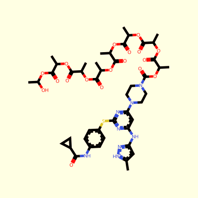 Cc1cc(Nc2cc(N3CCN(C(=O)OC(C)C(=O)OC(C)C(=O)OC(C)C(=O)OC(C)C(=O)OC(C)C(=O)OC(C)C(=O)OC(C)C(=O)OC(C)O)CC3)nc(Sc3ccc(NC(=O)C4CC4)cc3)n2)n[nH]1